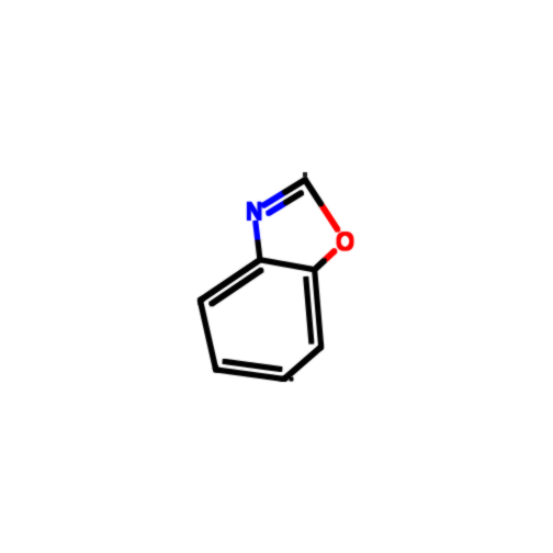 [c]1ccc2n[c]oc2c1